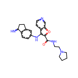 N=C1CCc2cc(Nc3c(C(=O)NCCN4CCCC4)oc4cnccc34)ccc21